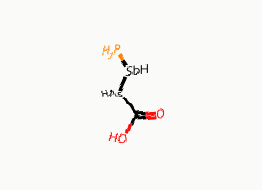 O=C(O)[AsH][SbH][PH2]